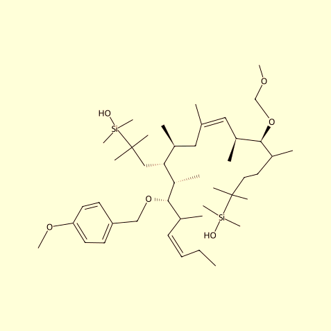 CC/C=C\C(C)[C@H](OCc1ccc(OC)cc1)[C@@H](C)[C@H](CC(C)(C)[Si](C)(C)O)[C@@H](C)C/C(C)=C\[C@H](C)[C@@H](OCOC)C(C)CCC(C)(C)[Si](C)(C)O